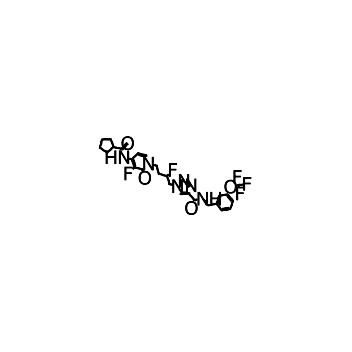 O=C(NCc1cccc(OC(F)(F)F)c1)c1cn(CC(F)CCn2ccc(NC(=O)C3CCCC3)c(F)c2=O)nn1